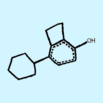 Oc1ccc(C2CCCCC2)c2c1CC2